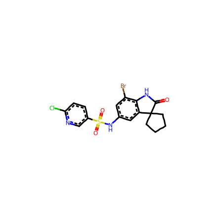 O=C1Nc2c(Br)cc(NS(=O)(=O)c3ccc(Cl)nc3)cc2C12CCCC2